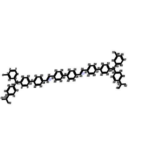 Cc1cccc(N(c2ccc(-c3ccc(/C=C/c4ccc(-c5ccc(/C=C/c6ccc(-c7ccc(N(c8ccc(C(C)C)cc8)c8cccc(C)c8)cc7)cc6)cc5)cc4)cc3)cc2)c2ccc(C(C)C)cc2)c1